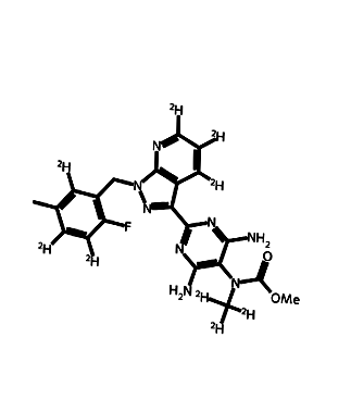 [2H]c1nc2c(c(-c3nc(N)c(N(C(=O)OC)C([2H])([2H])[2H])c(N)n3)nn2Cc2c([2H])c(C)c([2H])c([2H])c2F)c([2H])c1[2H]